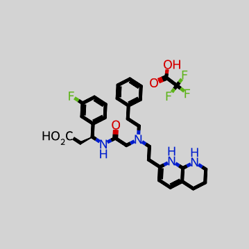 O=C(O)C(F)(F)F.O=C(O)C[C@H](NC(=O)CN(CCC1=CC=C2CCCNC2N1)CCc1ccccc1)c1cccc(F)c1